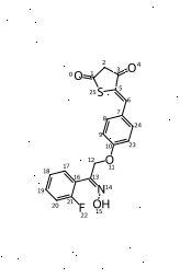 O=C1CC(=O)/C(=C/c2ccc(OCC(=NO)c3ccccc3F)cc2)S1